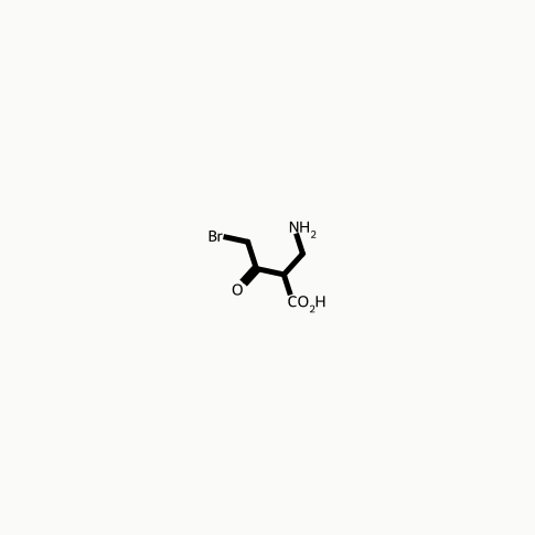 NCC(C(=O)O)C(=O)CBr